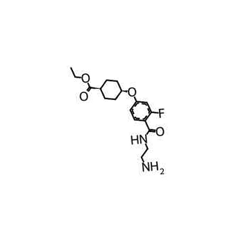 CCOC(=O)[C@H]1CC[C@@H](Oc2ccc(C(=O)NCCN)c(F)c2)CC1